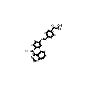 CN(c1ccc(OCc2ccc(C(=O)NO)cc2)cc1)c1ncnc2ccccc12